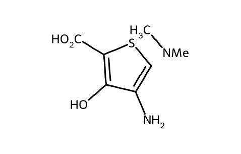 CNC.Nc1csc(C(=O)O)c1O